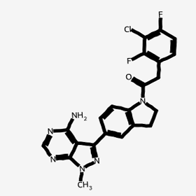 Cn1nc(-c2ccc3c(c2)CCN3C(=O)Cc2ccc(F)c(Cl)c2F)c2c(N)ncnc21